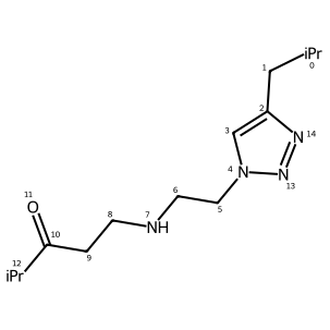 CC(C)Cc1cn(CCNCCC(=O)C(C)C)nn1